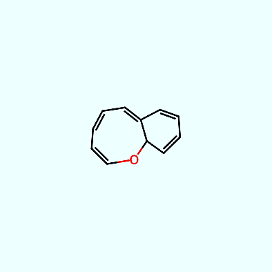 C1=C/C2=C/C=C\C=C/OC2C=C1